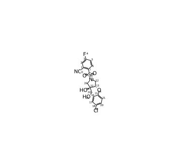 N#Cc1cc(F)ccc1S(=O)(=O)N1C[C@H](Oc2ccc(Cl)cc2)[C@](O)(CO)C1